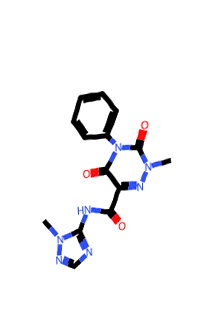 Cn1ncnc1NC(=O)c1nn(C)c(=O)n(-c2ccccc2)c1=O